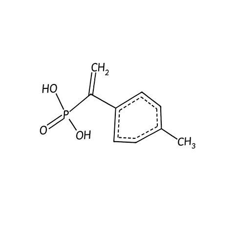 C=C(c1ccc(C)cc1)P(=O)(O)O